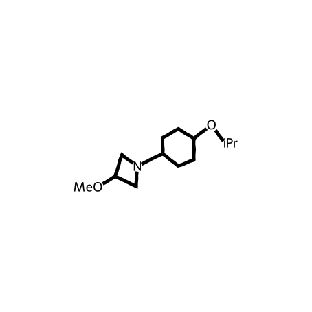 COC1CN(C2CCC(OC(C)C)CC2)C1